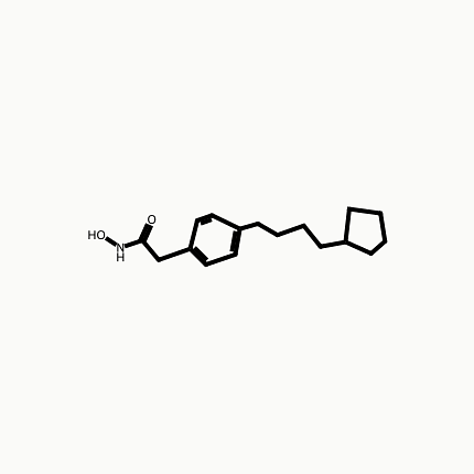 O=C(Cc1ccc(CCCCC2CCCC2)cc1)NO